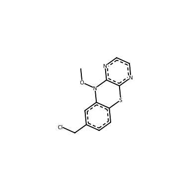 CON1c2cc(CCl)ccc2Sc2nccnc21